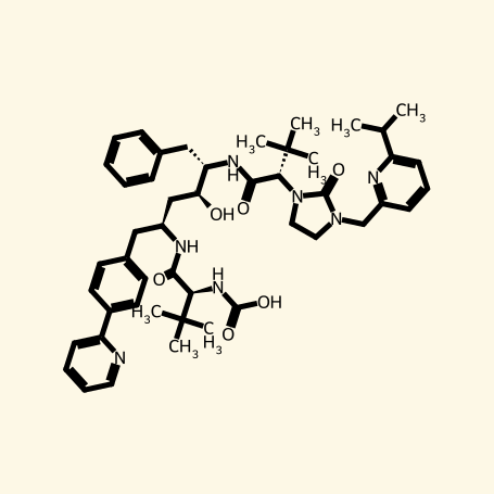 CC(C)c1cccc(CN2CCN([C@H](C(=O)N[C@@H](Cc3ccccc3)[C@@H](O)C[C@H](Cc3ccc(-c4ccccn4)cc3)NC(=O)[C@@H](NC(=O)O)C(C)(C)C)C(C)(C)C)C2=O)n1